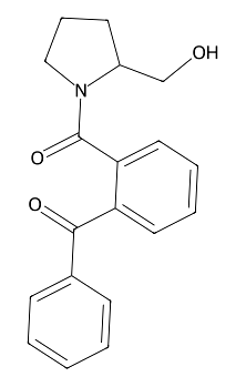 O=C(c1ccccc1)c1ccccc1C(=O)N1CCCC1CO